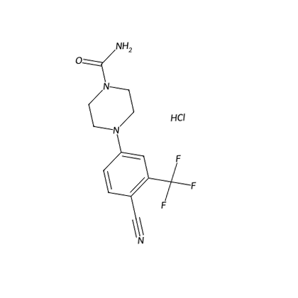 Cl.N#Cc1ccc(N2CCN(C(N)=O)CC2)cc1C(F)(F)F